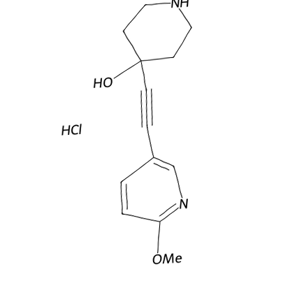 COc1ccc(C#CC2(O)CCNCC2)cn1.Cl